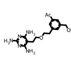 CC(=O)c1cc(CO)cc(CCOCCc2c(N)nc(N)nc2N)c1